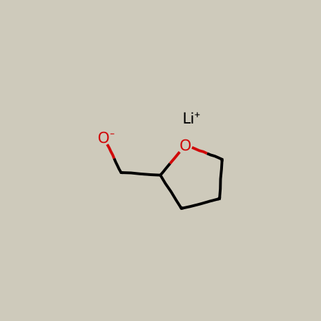 [Li+].[O-]CC1CCCO1